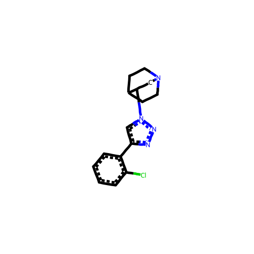 Clc1ccccc1-c1cn(C2CN3CCC2CC3)nn1